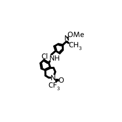 CON=C(C)c1ccc(CNc2c(Cl)ccc3c2CCN(C(=O)C(F)(F)F)CC3)cc1